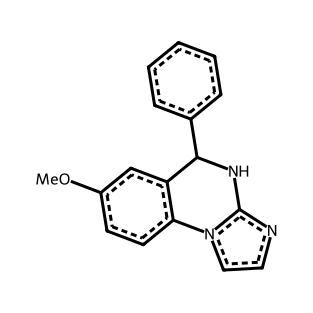 COc1ccc2c(c1)C(c1ccccc1)Nc1nccn1-2